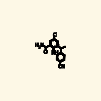 CC(c1ccc(C#N)cc1)n1cc(Cl)cc(C(N)=O)c1=N